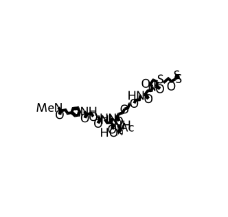 CNC(=O)CCc1ccc(NC(=O)COCC(=O)NCC(NC(=O)CCOCCOCCNC(=O)CCN2C(=O)CC(SCCC(=O)C3SS3)C2=O)C(=O)N[C@H](C(C)=O)[C@@H](C)O)cc1